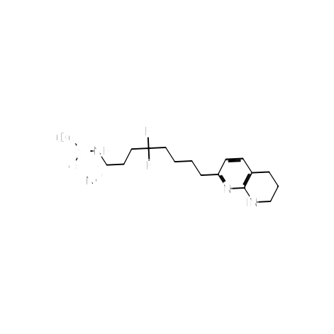 CC(C)(C)[S+]([O-])N[C@@H](C#N)CCC(F)(F)CCCCc1ccc2c(n1)NCCC2